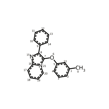 Cc1cccc(Oc2c(-c3ccccc3)nc3ccccn23)c1